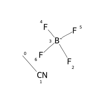 CC#[NH+].F[B-](F)(F)F